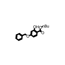 CCCCOC(=O)c1ccc(OCc2ccccc2)cc1O